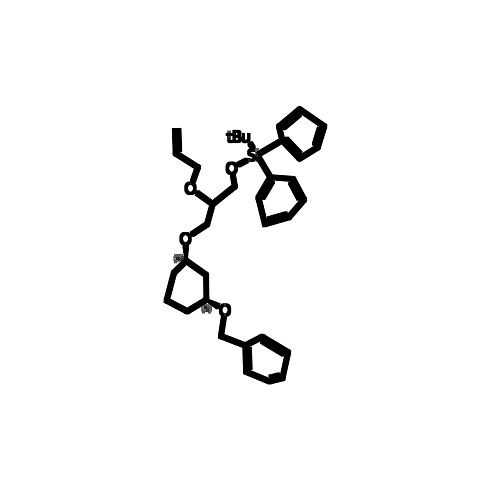 C=CCOC(CO[C@@H]1CCC[C@H](OCc2ccccc2)C1)CO[Si](c1ccccc1)(c1ccccc1)C(C)(C)C